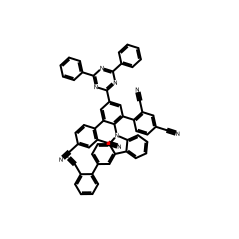 N#Cc1ccc(-c2cc(-c3nc(-c4ccccc4)nc(-c4ccccc4)n3)cc(-c3ccc(C#N)cc3C#N)c2-n2c3ccccc3c3cc(-c4ccccc4C#N)ccc32)c(C#N)c1